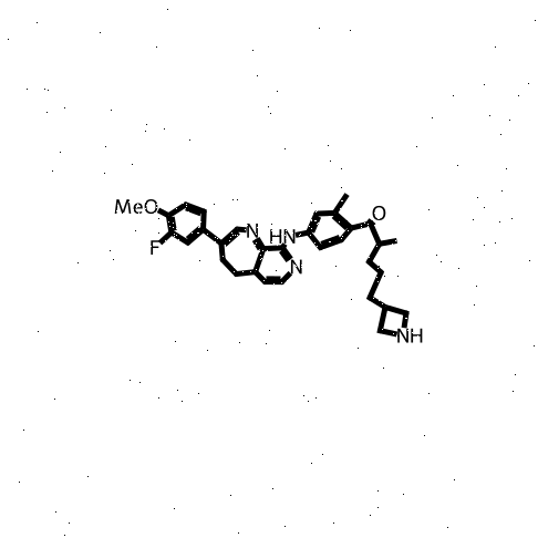 COc1ccc(C2=CN=C3C(Nc4ccc(C(=O)C(C)CCCC5CNC5)c(C)c4)=NC=CC3CC2)cc1F